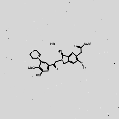 Br.CCOc1cc2c(cc1CC(=O)NC)C(=N)N(CC(=O)c1cc(N3CCOCC3)c(OC)c(C(C)(C)C)c1)C2